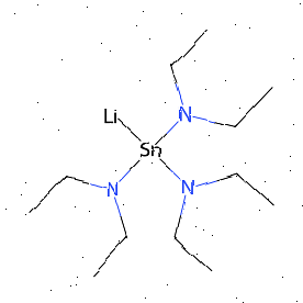 [Li][Sn]([N](CC)CC)([N](CC)CC)[N](CC)CC